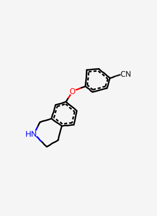 N#Cc1ccc(Oc2ccc3c(c2)CNCC3)cc1